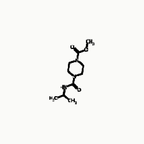 COC(=O)N1CCN(C(=O)NC(C)C)CC1